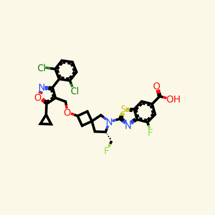 O=C(O)c1cc(F)c2nc(N3CC4(CC(OCc5c(-c6c(Cl)cccc6Cl)noc5C5CC5)C4)C[C@H]3CF)sc2c1